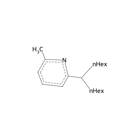 CCCCCCC(CCCCCC)c1cccc(C)n1